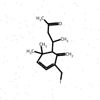 C=C1C(CI)=C=CC(C)(C)C1C(C)CC(C)=O